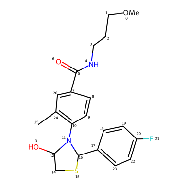 COCCCNC(=O)c1ccc(N2C(O)CSC2c2ccc(F)cc2)c(C)c1